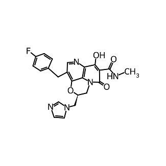 CNC(=O)c1c(O)c2ncc(Cc3ccc(F)cc3)c3c2n(c1=O)C[C@@H](Cn1ccnc1)O3